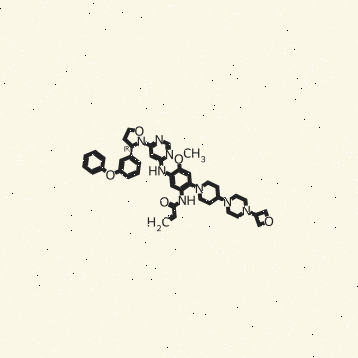 C=CC(=O)Nc1cc(Nc2cc(N3OCC[C@@H]3c3cccc(Oc4ccccc4)c3)ncn2)c(OC)cc1N1CCC(N2CCN(C3COC3)CC2)CC1